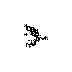 C[C@@H]1C[C@H]2[C@@H]3C[C@H](F)C4=CC(=O)C=C[C@]4(C)[C@@]3(F)[C@@H](O)C[C@]2(C)[C@]1(OC(=O)c1ccc(C(F)(F)F)o1)C(=O)SCC#N